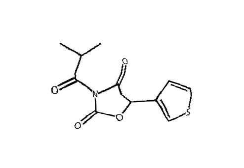 CC(C)C(=O)N1C(=O)OC(c2ccsc2)C1=O